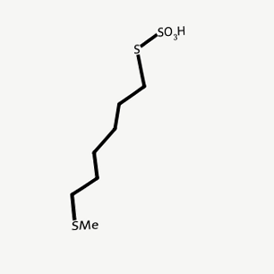 CSCCCCCCSS(=O)(=O)O